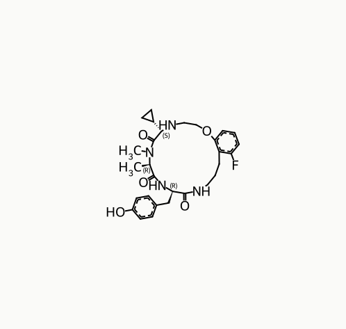 C[C@@H]1C(=O)N[C@H](Cc2ccc(O)cc2)C(=O)NCCCc2c(F)cccc2OCCN[C@@H](C2CC2)C(=O)N1C